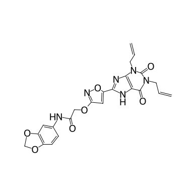 C=CCn1c(=O)c2[nH]c(-c3cc(OCC(=O)Nc4ccc5c(c4)OCO5)no3)nc2n(CC=C)c1=O